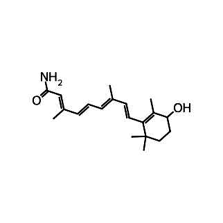 CC(C=CC1=C(C)C(O)CCC1(C)C)=CC=CC(C)=CC(N)=O